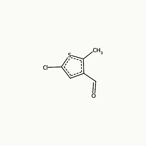 Cc1sc(Cl)cc1C=O